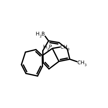 B/C1=C/C/C(C)=C(C(C)(P)C2=CCC=CC=C2)/C=C\C1